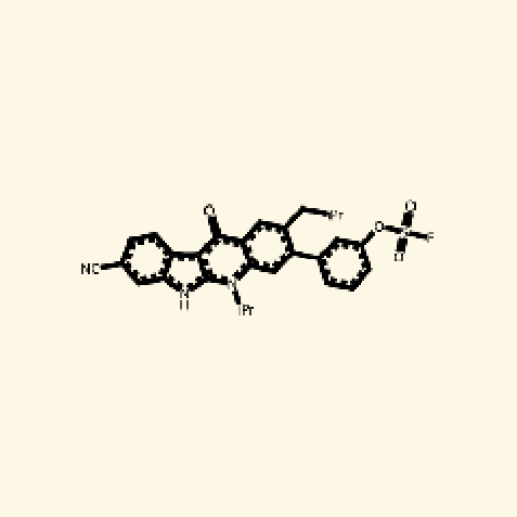 CC(C)Cc1cc2c(=O)c3c4ccc(C#N)cc4[nH]c3n(C(C)C)c2cc1-c1cccc(OS(=O)(=O)F)c1